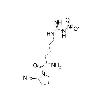 N#C[C@@H]1CCCN1C(=O)[C@@H](N)CCCCNC(=N)N[N+](=O)[O-]